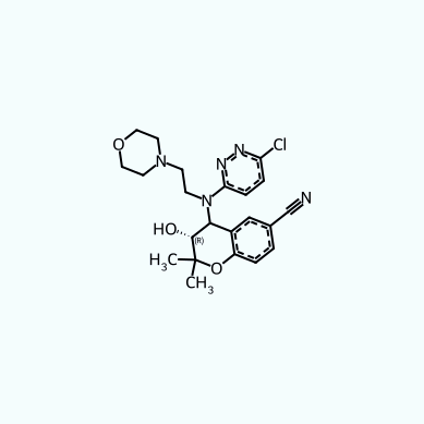 CC1(C)Oc2ccc(C#N)cc2C(N(CCN2CCOCC2)c2ccc(Cl)nn2)[C@H]1O